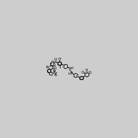 COc1cc(N2CCC(NCCNC3CCN(c4cccc(C5CCC(=O)NC5=O)c4)CC3)CC2)c(C)cc1Nc1ncc(Br)c(Nc2cccc3c2N(S(C)(=O)=O)CC3)n1